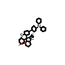 c1ccc(N(c2ccccc2)c2ccc(-c3ccc4c(c3)C3(c5ccccc5-c5ccccc53)c3c(ccc5ccccc35)S4)cc2)cc1